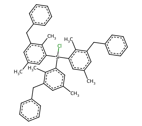 Cc1cc(Cc2ccccc2)c(C)c([Si](Cl)(c2cc(C)cc(Cc3ccccc3)c2C)c2cc(C)cc(Cc3ccccc3)c2C)c1